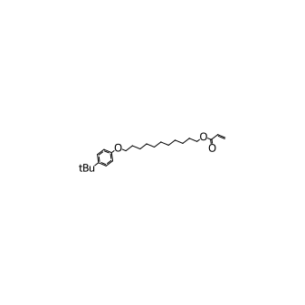 C=CC(=O)OCCCCCCCCCCCOc1ccc(C(C)(C)C)cc1